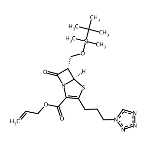 C=CCOC(=O)C1=C(CCCn2cnnn2)S[C@@H]2[C@@H](CO[Si](C)(C)C(C)(C)C)C(=O)N12